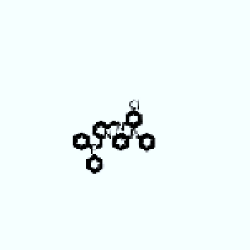 Clc1ccc(P(c2ccccc2)c2ccccc2)c(NCc2cccc(CP(c3ccccc3)c3ccccc3)n2)c1